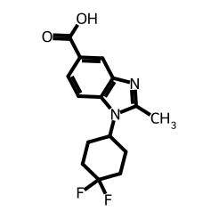 Cc1nc2cc(C(=O)O)ccc2n1C1CCC(F)(F)CC1